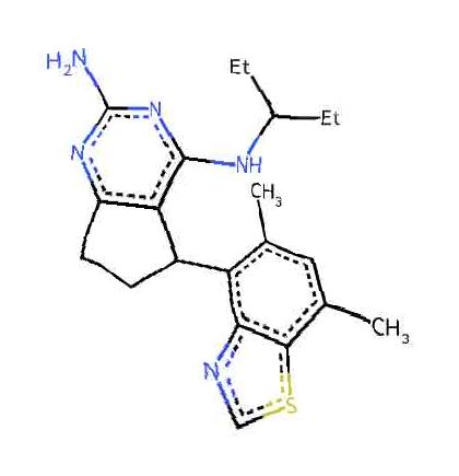 CCC(CC)Nc1nc(N)nc2c1C(c1c(C)cc(C)c3scnc13)CC2